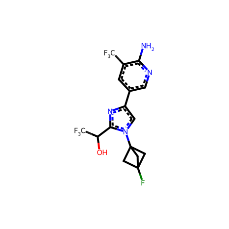 Nc1ncc(-c2cn(C34CC(F)(C3)C4)c(C(O)C(F)(F)F)n2)cc1C(F)(F)F